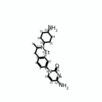 CCN(C(C)Cc1ccc(-n2ccc(N)nc2=O)cc1)C1CCC(N)CC1